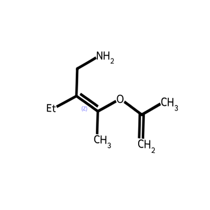 C=C(C)O/C(C)=C(/CC)CN